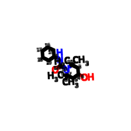 CC1(C)CC(O)CC(C)(C)N1C(=O)NC1CCCCC1